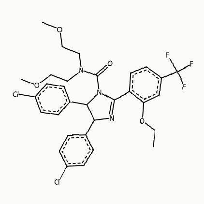 CCOc1cc(C(F)(F)F)ccc1C1=NC(c2ccc(Cl)cc2)C(c2ccc(Cl)cc2)N1C(=O)N(CCOC)CCOC